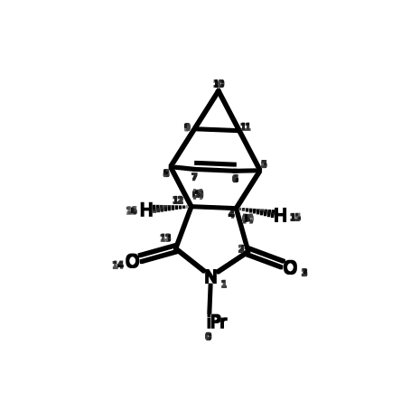 CC(C)N1C(=O)[C@@H]2C3C=CC(C4CC43)[C@@H]2C1=O